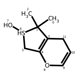 CC1(C)C2=C(C[SH]1O)OC=CC2